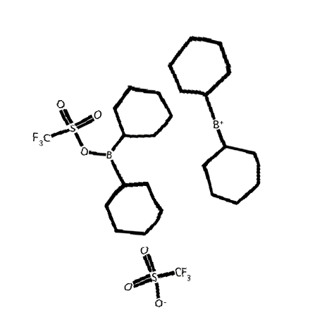 O=S(=O)(OB(C1CCCCC1)C1CCCCC1)C(F)(F)F.O=S(=O)([O-])C(F)(F)F.[B+](C1CCCCC1)C1CCCCC1